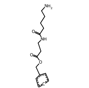 NCCCCC(=O)NCCC(=O)OCc1ccccc1